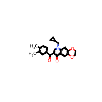 Cc1ccc(C(=O)c2cn(CC3CC3)c3cc4c(cc3c2=O)OCCO4)cc1C